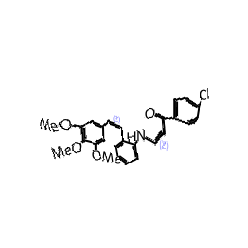 COc1cc(/C=C\c2ccccc2N/C=C\C(=O)c2ccc(Cl)cc2)cc(OC)c1OC